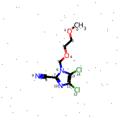 COCCOCn1c(C#N)nc(Cl)c1Cl